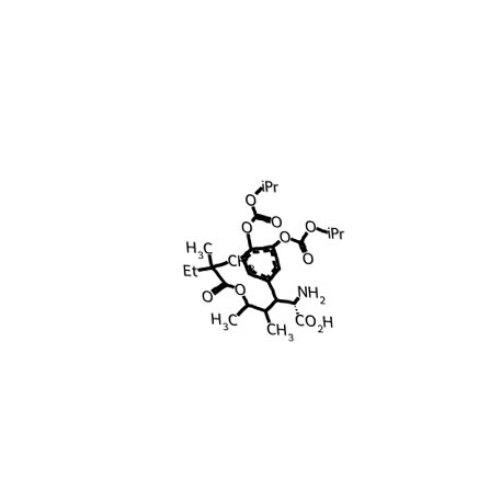 CCC(C)(C)C(=O)OC(C)C(C)C(c1ccc(OC(=O)OC(C)C)c(OC(=O)OC(C)C)c1)[C@H](N)C(=O)O